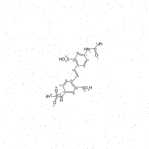 CC(C)C(=O)Nc1ccc(/C=C/c2ccc(NS(=O)(=O)C(C)C)cc2S(=O)(=O)O)c(S(=O)(=O)O)c1